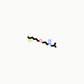 CC(C)CNCCCOCCCCC(C)S